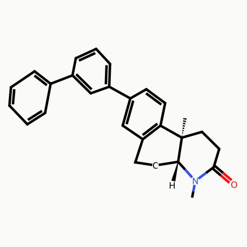 CN1C(=O)CC[C@]2(C)c3ccc(-c4cccc(-c5ccccc5)c4)cc3CC[C@@H]12